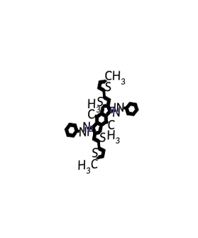 Cc1ccc(-c2cc3/c(=N\Nc4ccccc4)c4c(C)c5c(c(C)c4c3s2)/c(=N/Nc2ccccc2)c2cc(-c3ccc(C)s3)sc25)s1